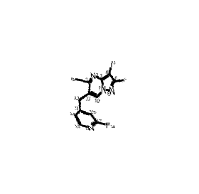 Cc1nc2c(I)c(C)nn2[c]c1Cc1ccnc(F)c1